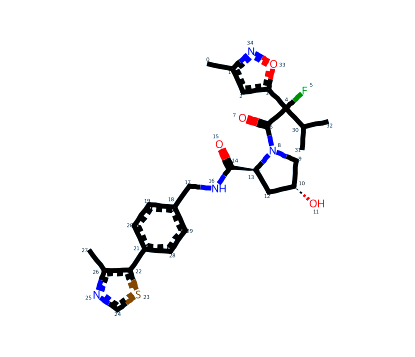 Cc1cc(C(F)(C(=O)N2C[C@H](O)C[C@H]2C(=O)NCc2ccc(-c3scnc3C)cc2)C(C)C)on1